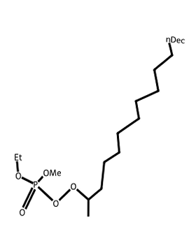 CCCCCCCCCCCCCCCCCCCC(C)OOP(=O)(OC)OCC